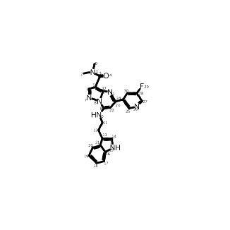 CN(C)C(=O)c1cnn2c(NCCc3c[nH]c4ccccc34)cc(-c3cncc(F)c3)nc12